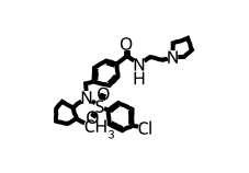 CC1CCCCC1N(Cc1ccc(C(=O)NCCN2CCCC2)cc1)S(=O)(=O)c1ccc(Cl)cc1